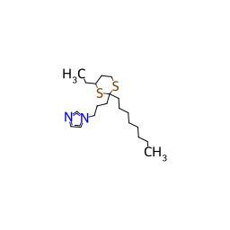 CCCCCCCCC1(CCCn2ccnc2)SCCC(CC)S1